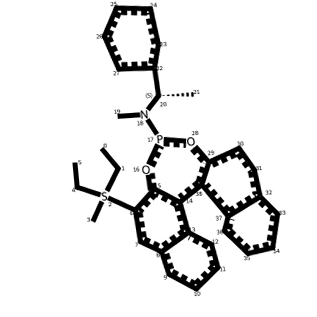 CCS(C)(CC)c1cc2ccccc2c2c1op(N(C)[C@@H](C)c1ccccc1)oc1ccc3ccccc3c12